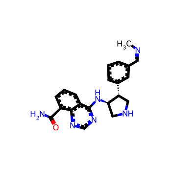 C/N=C\c1cccc([C@@H]2CNC[C@H]2Nc2ncnc3c(C(N)=O)cccc23)c1